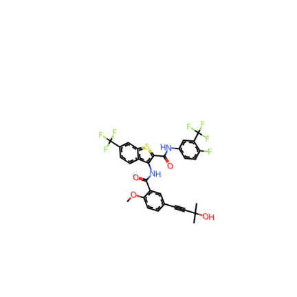 COc1ccc(C#CC(C)(C)O)cc1C(=O)Nc1c(C(=O)Nc2ccc(F)c(C(F)(F)F)c2)sc2cc(C(F)(F)F)ccc12